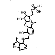 COc1ccc(CNc2ncnc3nc[nH]c23)c(O)c1OC1O[C@H](COP(=O)(O)O)[C@@H](O)[C@H]1O